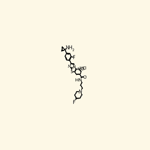 Cl.Cl.NC1(c2ccc(-c3cn4c(n3)sc3cc(C(=O)NCCCN5CCC(F)CC5)ccc34)c(F)c2)CC1